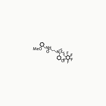 COc1ccccc1CNC(=O)CCCCN1CSC(SCc2c(F)c(F)c(F)c(F)c2F)C1c1cccc(Cl)c1